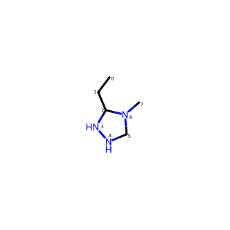 CCC1NNCN1C